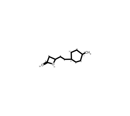 CC1CCC(CCC2CC(=O)O2)CC1